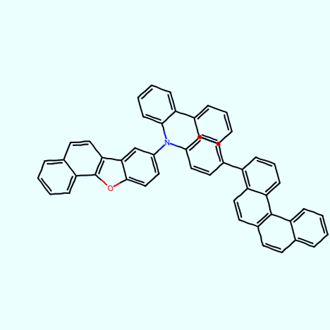 c1ccc(-c2ccccc2N(c2ccc(-c3cccc4c3ccc3ccc5ccccc5c34)cc2)c2ccc3oc4c5ccccc5ccc4c3c2)cc1